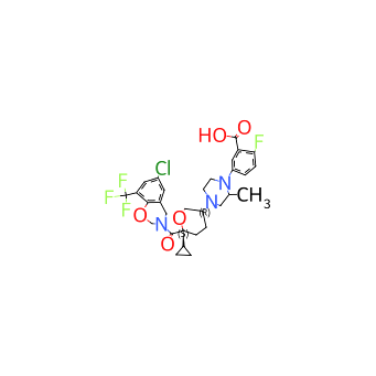 CC1CN([C@@H]2CC[C@@](C(=O)N3COc4c(cc(Cl)cc4C(F)(F)F)C3)(C3CC3)OC2)CCN1c1ccc(F)c(C(=O)O)c1